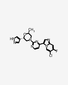 C[C@H]1CN(c2nccc(-c3cnc4cc(F)c(Cl)cn34)n2)C[C@H](c2cn[nH]c2)O1